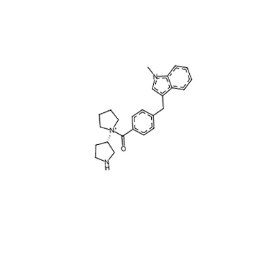 Cn1cc(Cc2ccc(C(=O)[N+]3([C@H]4CCNC4)CCCC3)cc2)c2ccccc21